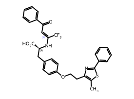 Cc1sc(-c2ccccc2)nc1CCOc1ccc(C[C@H](N/C(=C/C(=O)c2ccccc2)C(F)(F)F)C(=O)O)cc1